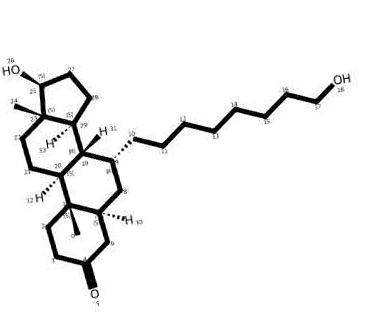 C[C@]12CCC(=O)C[C@@H]1C[C@@H](CCCCCCCCO)[C@@H]1[C@@H]2CC[C@]2(C)[C@@H](O)CC[C@@H]12